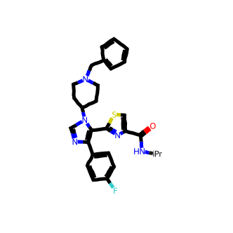 CC(C)NC(=O)c1csc(-c2c(-c3ccc(F)cc3)ncn2C2CCN(Cc3ccccc3)CC2)n1